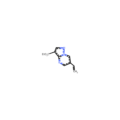 C=Cc1cnc2c(C(=O)OCC)cnn2c1